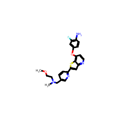 BN(CCOC)Cc1ccc(-c2cc3nccc(Oc4ccc(N)c(F)c4)c3s2)nc1